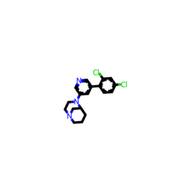 Clc1ccc(-c2cncc(N3CCN4CCCC3C4)c2)c(Cl)c1